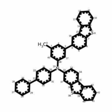 Cc1cc(-c2ccc3sc4ccccc4c3c2)cc(N(c2ccc(-c3ccccc3)cc2)c2ccc3c(c2)sc2ccccc23)c1